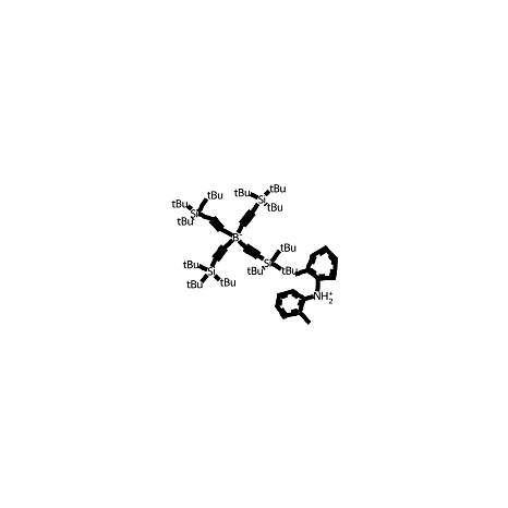 CC(C)(C)[Si](C#C[B-](C#C[Si](C(C)(C)C)(C(C)(C)C)C(C)(C)C)(C#C[Si](C(C)(C)C)(C(C)(C)C)C(C)(C)C)C#C[Si](C(C)(C)C)(C(C)(C)C)C(C)(C)C)(C(C)(C)C)C(C)(C)C.Cc1ccccc1[NH2+]c1ccccc1C